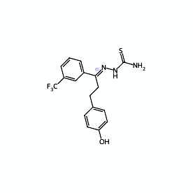 NC(=S)N/N=C(\CCc1ccc(O)cc1)c1cccc(C(F)(F)F)c1